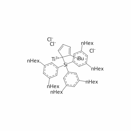 CCCCCCc1cc(CCCCCC)cc([Si](c2cc(CCCCCC)cc(CCCCCC)c2)(c2cc(CCCCCC)cc(CCCCCC)c2)[C]2([Ti+3])C=CC=C2C(C)CC)c1.[Cl-].[Cl-].[Cl-]